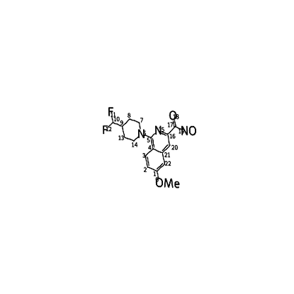 COc1ccc2c(N3CCC(C(F)F)CC3)nc(C(=O)N=O)cc2c1